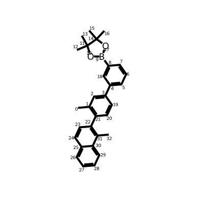 Cc1cc(-c2cccc(B3OC(C)(C)C(C)(C)O3)c2)ccc1-c1ccc2ccccc2c1C